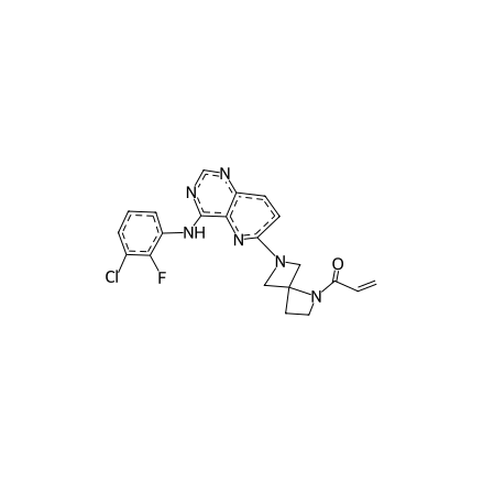 C=CC(=O)N1CCC12CN(c1ccc3ncnc(Nc4cccc(Cl)c4F)c3n1)C2